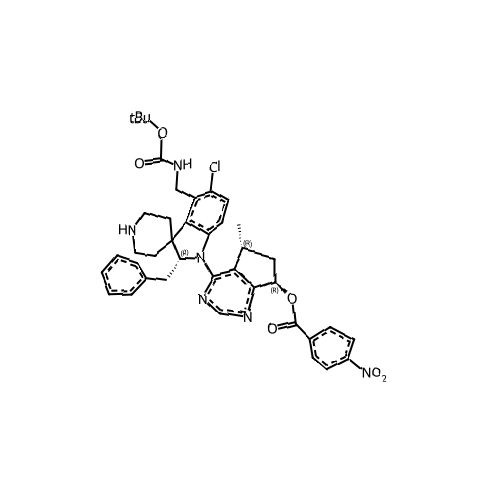 C[C@@H]1C[C@@H](OC(=O)c2ccc([N+](=O)[O-])cc2)c2ncnc(N3c4ccc(Cl)c(CNC(=O)OC(C)(C)C)c4C4(CCNCC4)[C@H]3Cc3ccccc3)c21